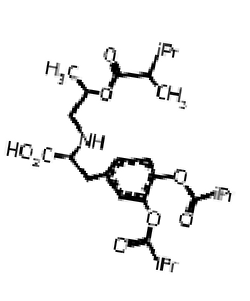 CC(CN[C@@H](Cc1ccc(OC(=O)C(C)C)c(OC(=O)C(C)C)c1)C(=O)O)OC(=O)C(C)C(C)C